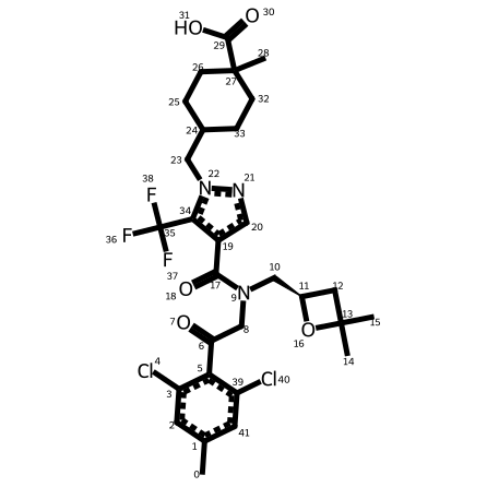 Cc1cc(Cl)c(C(=O)CN(C[C@H]2CC(C)(C)O2)C(=O)c2cnn(CC3CCC(C)(C(=O)O)CC3)c2C(F)(F)F)c(Cl)c1